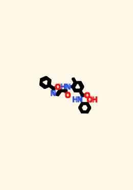 Cc1ccc(C(=O)N[C@H]2CCCC[C@@H]2O)cc1NC(=O)c1cnc(-c2ccccc2)o1